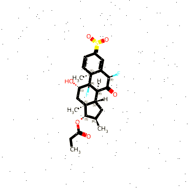 CCC(=O)O[C@H]1[C@H](C)C[C@H]2[C@@H]3C(=O)[C@H](F)C4=CC(=S(=O)=O)C=C[C@]4(C)[C@@]3(F)[C@@H](O)C[C@@]21C